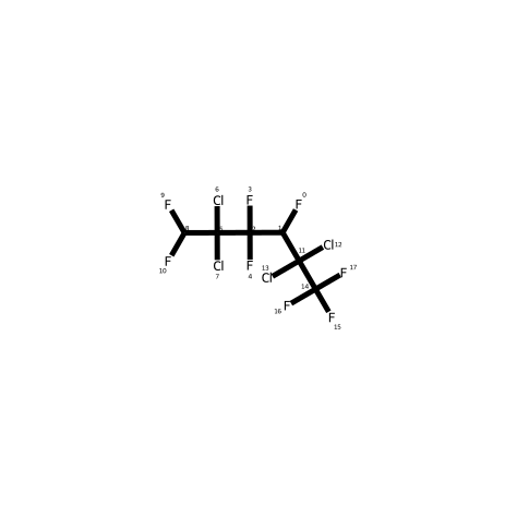 FC(C(F)(F)C(Cl)(Cl)C(F)F)C(Cl)(Cl)C(F)(F)F